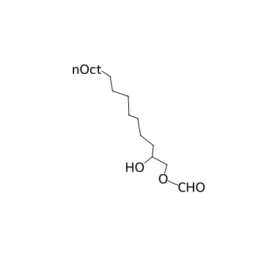 CCCCCCCCCCCCCCCC(O)COC=O